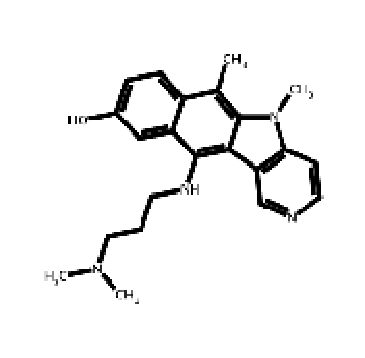 Cc1c2ccc(O)cc2c(NCCCN(C)C)c2c3cnccc3n(C)c12